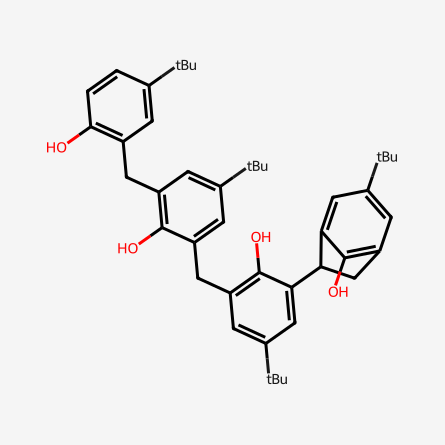 CC(C)(C)c1ccc(O)c(Cc2cc(C(C)(C)C)cc(Cc3cc(C(C)(C)C)cc(C4Cc5cc(C(C)(C)C)cc4c5O)c3O)c2O)c1